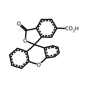 O=C(O)c1ccc2c(c1)C1(OC2=O)c2ccccc2Oc2ccccc21